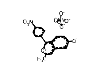 Cc1cc2cc(Cl)ccc2c(-c2ccc([N+](=O)[O-])cc2)[o+]1.[O-][Cl+3]([O-])([O-])[O-]